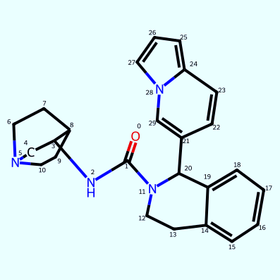 O=C(NC1CN2CCC1CC2)N1CCc2ccccc2C1c1ccc2cccn2c1